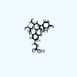 C=C(CC)N1C(CC)Cc2c([nH]c3cc(C)ccc23)C1c1c(F)cc(/C=C/C(=O)O)cc1F